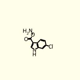 NOC(=O)c1c[nH]c2cc(Cl)ccc12